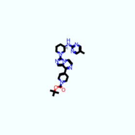 Cc1cnc(N[C@@H]2CCCN(c3ncc4c(C5=CCN(C(=O)OC(C)(C)C)CC5)nccn34)C2)nc1